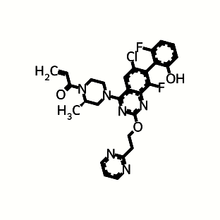 C=CC(=O)N1CCN(c2nc(OCCc3ncccn3)nc3c(F)c(-c4c(O)cccc4F)c(Cl)cc23)C[C@H]1C